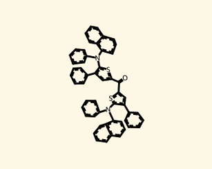 O=C(c1cc(-c2ccccc2)c(N(c2ccccc2)c2cccc3ccccc23)s1)c1cc(-c2ccccc2)c(N(c2ccccc2)c2cccc3ccccc23)s1